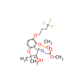 COC(=O)CN([C@H]1c2cc(OCCCC(F)(F)F)ccc2OC(C)(C)[C@@H]1O)S(C)(=O)=O